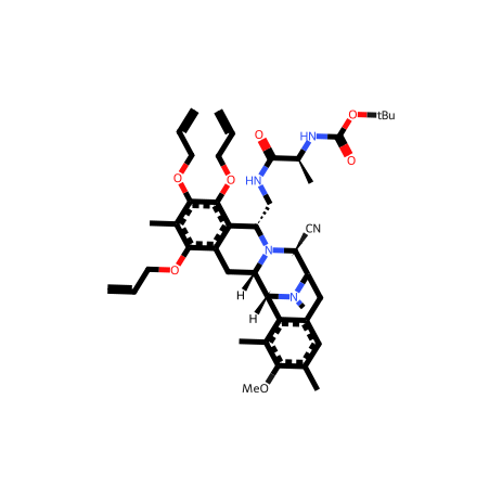 C=CCOc1c(C)c(OCC=C)c(OCC=C)c2c1C[C@H]1[C@H]3c4c(cc(C)c(OC)c4C)CC([C@H](C#N)N1[C@H]2CNC(=O)[C@H](C)NC(=O)OC(C)(C)C)N3C